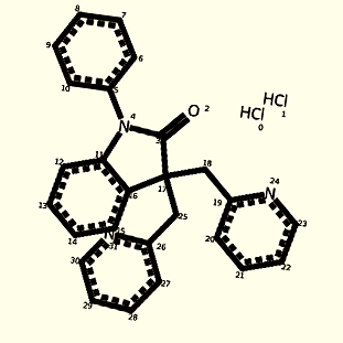 Cl.Cl.O=C1N(c2ccccc2)c2ccccc2C1(Cc1ccccn1)Cc1ccccn1